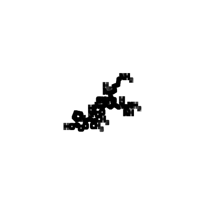 CC(C)[C@H](NC(=O)CN(C)C(=O)[C@H](CCCNC(=N)N)NC(=O)[C@@H](N)CCCCN)C(=O)N1CCC[C@H]1C(=O)O